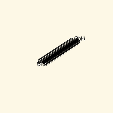 O=S(=O)(O)C(Br)(Br)C(Br)(Br)C(Br)(Br)C(Br)(Br)C(Br)(Br)C(Br)(Br)C(Br)(Br)C(Br)(Br)C(Br)(Br)C(Br)(Br)C(Br)(Br)C(Br)(Br)C(Br)(Br)C(Br)(Br)C(Br)(Br)C(Br)(Br)C(Br)(Br)C(Br)(Br)C(Br)(Br)C(Br)(Br)C(Br)(Br)C(Br)(Br)Br